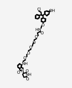 O=C(CCOCCOCCOCCOCCOCCNc1cccc2c1CN(C1CCC(=O)NC1=O)C2=O)NCCOc1ccc(C(=C(CCCl)c2ccccc2)c2ccc(O)cc2)cc1